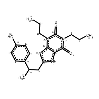 CCCn1c(=O)c2[nH]c(CC(C)c3ccc(O)cc3)nc2n(CCC)c1=O